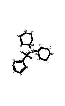 CC(C)(c1ccccc1)[Si](C1CCCCC1)C1CCCCC1